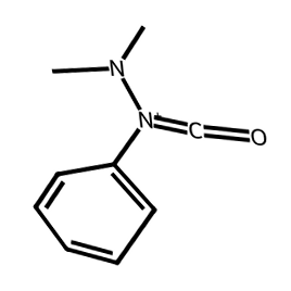 CN(C)[N+](=C=O)c1ccccc1